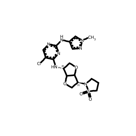 Cn1cc(Nc2ncc(Cl)c(N[C@@H]3COC4C3OC[C@@H]4N3CCCS3(=O)=O)n2)cn1